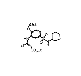 CCCCCCCCOc1ccc(S(=O)(=O)NC2CCCCC2)cc1NC(=CC(=O)OCC)CC